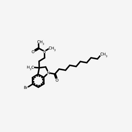 CCCCCCCCCC(=O)N1CC(C)(CCN(C)C(C)=O)c2cc(Br)ccc21